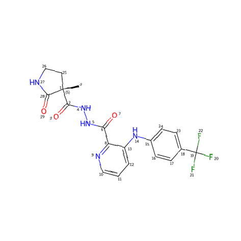 C[C@]1(C(=O)NNC(=O)c2ncccc2Nc2ccc(C(F)(F)F)cc2)CCNC1=O